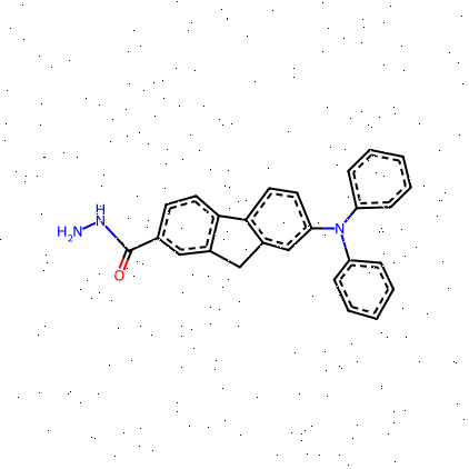 NNC(=O)c1ccc2c(c1)Cc1cc(N(c3ccccc3)c3ccccc3)ccc1-2